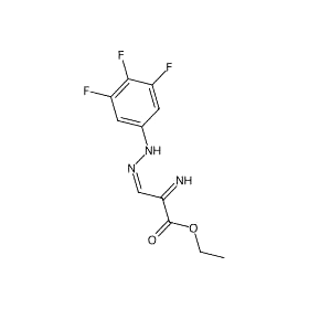 CCOC(=O)C(=N)/C=N\Nc1cc(F)c(F)c(F)c1